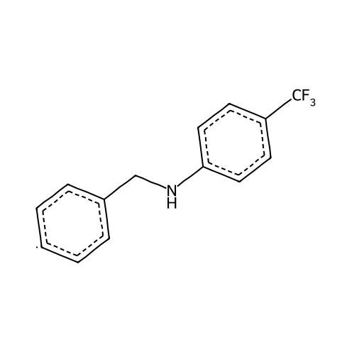 FC(F)(F)c1ccc(NCc2cc[c]cc2)cc1